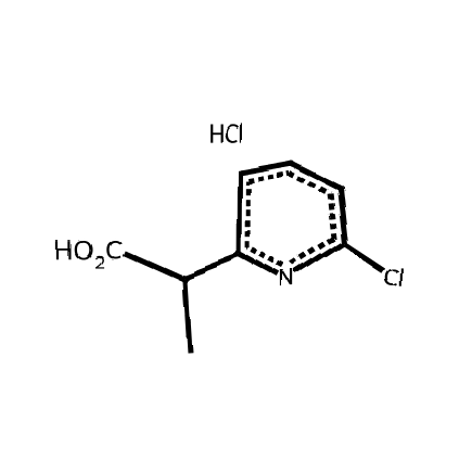 CC(C(=O)O)c1cccc(Cl)n1.Cl